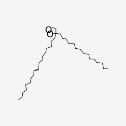 CCCCCCCCC=CCCCCCCCCC1(CCCCCCCCCCCCCCC)CCOO1